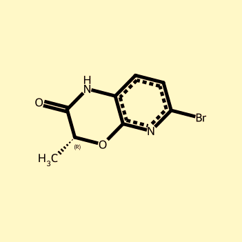 C[C@H]1Oc2nc(Br)ccc2NC1=O